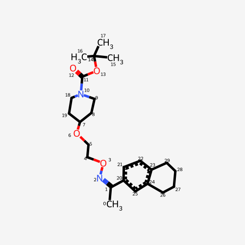 C/C(=N/OCCOC1CCN(C(=O)OC(C)(C)C)CC1)c1ccc2c(c1)CCCC2